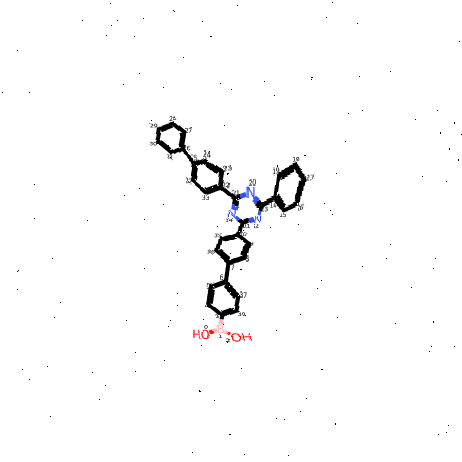 OB(O)c1ccc(-c2ccc(-c3nc(-c4ccccc4)nc(-c4ccc(-c5ccccc5)cc4)n3)cc2)cc1